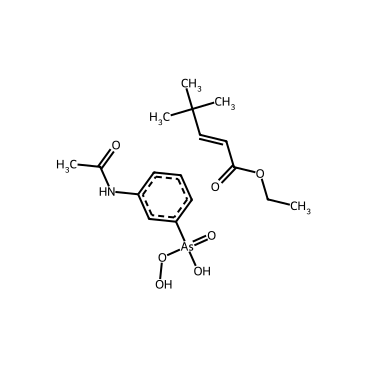 CC(=O)Nc1cccc([As](=O)(O)OO)c1.CCOC(=O)C=CC(C)(C)C